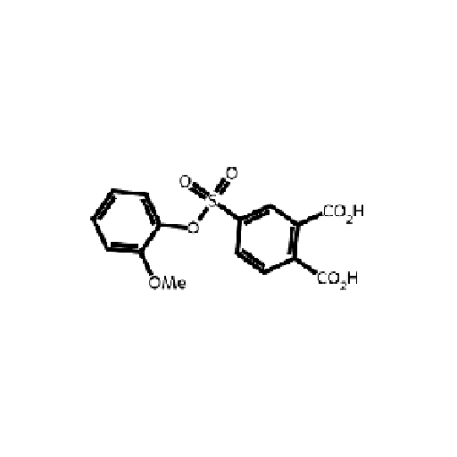 COc1ccccc1OS(=O)(=O)c1ccc(C(=O)O)c(C(=O)O)c1